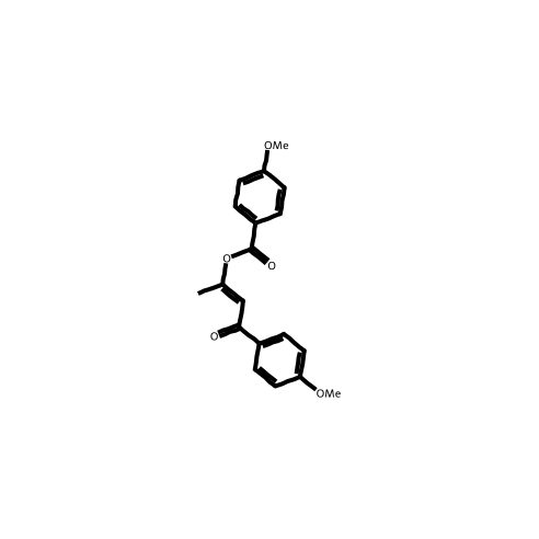 COc1ccc(C(=O)/C=C(\C)OC(=O)c2ccc(OC)cc2)cc1